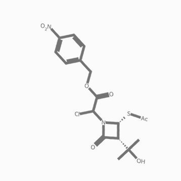 CC(=O)S[C@@H]1[C@H](C(C)(C)O)C(=O)N1C(Cl)C(=O)OCc1ccc([N+](=O)[O-])cc1